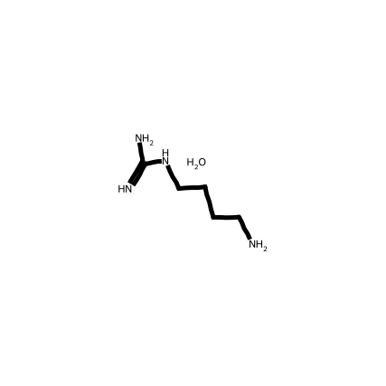 N=C(N)NCCCCN.O